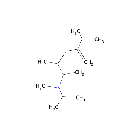 C=C(CC(C)C(C)N(C)C(C)C)C(C)C